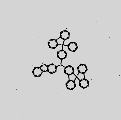 c1ccc(C2(c3ccc(N(c4ccc5c(c4)-c4ccccc4C54c5ccccc5-c5ccccc54)c4ccc5c(c4)sc4ccccc45)cc3)c3ccccc3-c3ccccc32)cc1